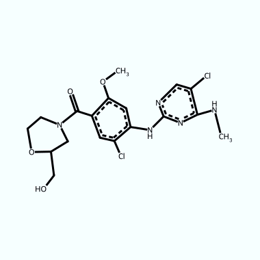 CNc1nc(Nc2cc(OC)c(C(=O)N3CCOC(CO)C3)cc2Cl)ncc1Cl